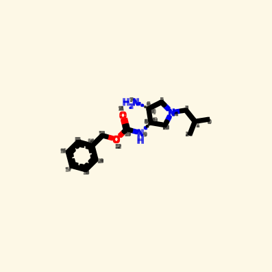 C[C](C)CN1C[C@@H](N)[C@@H](NC(=O)OCc2ccccc2)C1